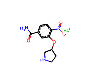 Cl.NC(=O)c1ccc([N+](=O)[O-])c(OC2CCNC2)c1